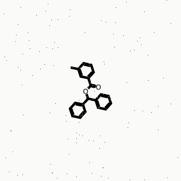 Cc1cccc(C(=O)OC(c2ccccc2)c2ccccc2)c1